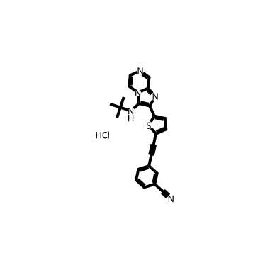 CC(C)(C)Nc1c(-c2ccc(C#Cc3cccc(C#N)c3)s2)nc2cnccn12.Cl